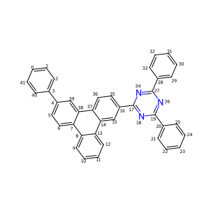 c1ccc(-c2ccc3c4ccccc4c4cc(-c5nc(-c6ccccc6)nc(-c6ccccc6)n5)ccc4c3c2)cc1